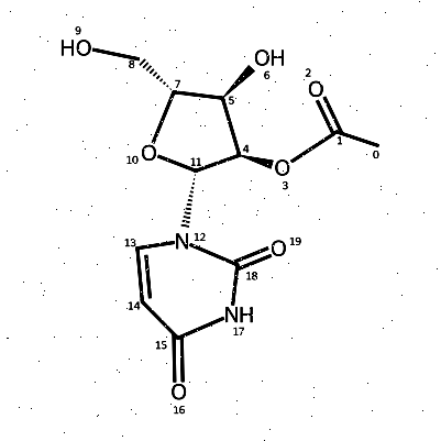 CC(=O)O[C@@H]1[C@H](O)[C@@H](CO)O[C@H]1n1ccc(=O)[nH]c1=O